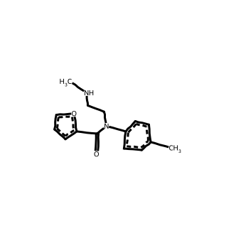 CNCCN(C(=O)c1ccco1)c1ccc(C)cc1